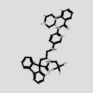 O=C(Nc1ccc(NCCCC2(C(=O)NCC(F)(F)F)c3ccccc3-c3ccccc32)cn1)c1ccccc1N1CCOCC1